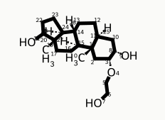 C[C@]12C[C@@H](OCCO)[C@@H](O)C[C@@H]1CC[C@@H]1[C@@H]2CC[C@]2(C)C(O)CC[C@@H]12